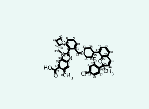 Cc1cc2nc(-c3ccccc3CN3CCC(c4cccc5c4O[C@@](C)(c4ccc(Cl)cc4F)C=C5)CC3)n(C[C@@H]3CCO3)c2nc1C(=O)O